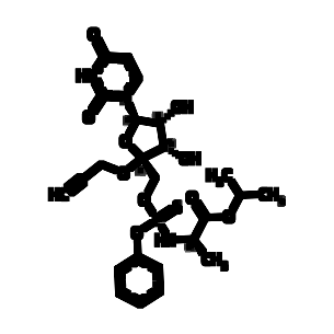 C#CCO[C@]1(COP(=S)(N[C@H](C)C(=O)OC(C)C)Oc2ccccc2)O[C@@H](n2ccc(=O)[nH]c2=O)[C@H](O)[C@@H]1O